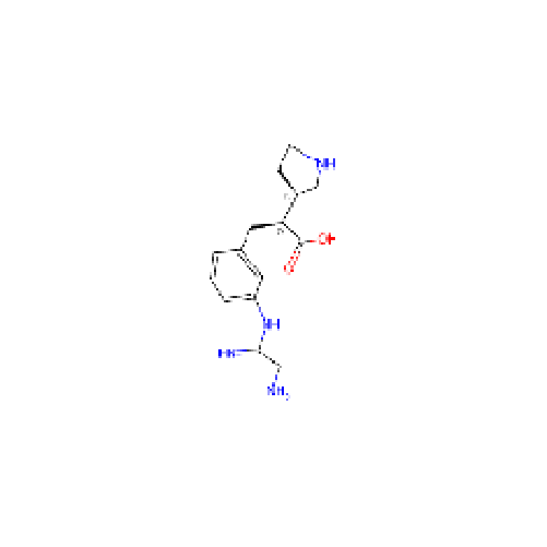 N=C(CN)Nc1cccc(C[C@H](C(=O)O)[C@H]2CCNC2)c1